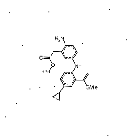 C=C(OC)c1cc(C2CC2)ccc1Nc1ccc(N)c(CC(=O)OC(C)(C)C)c1